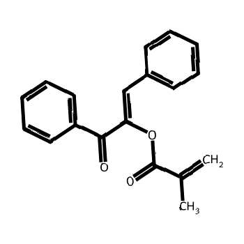 C=C(C)C(=O)O/C(=C\c1ccccc1)C(=O)c1ccccc1